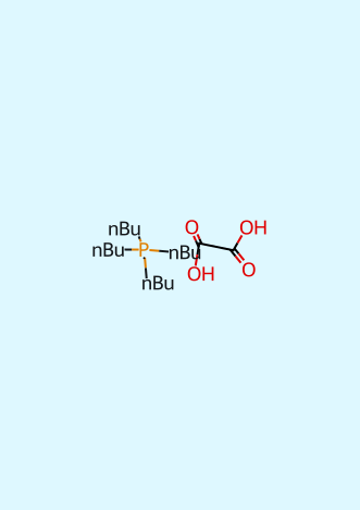 CCCC[P](CCCC)(CCCC)CCCC.O=C(O)C(=O)O